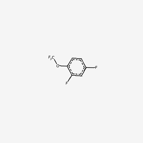 Fc1[c]c(F)c(OC(F)(F)F)cc1